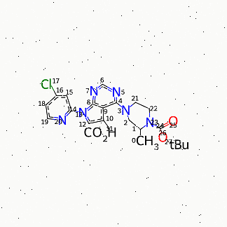 CC1CN(c2ncnc3c2c(C(=O)O)cn3-c2cc(Cl)ccn2)CCN1C(=O)OC(C)(C)C